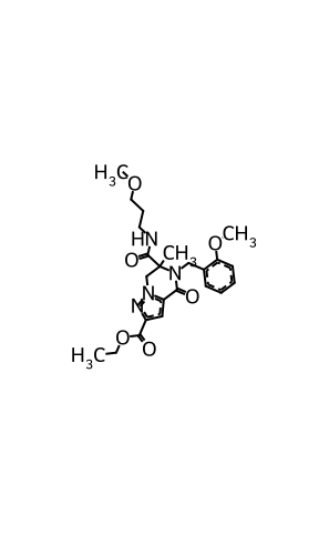 CCOC(=O)c1cc2n(n1)CC(C)(C(=O)NCCCOC)N(Cc1ccccc1OC)C2=O